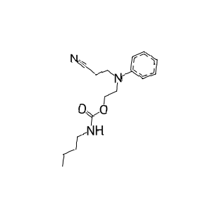 CCCCNC(=O)OCCN(CCC#N)c1ccccc1